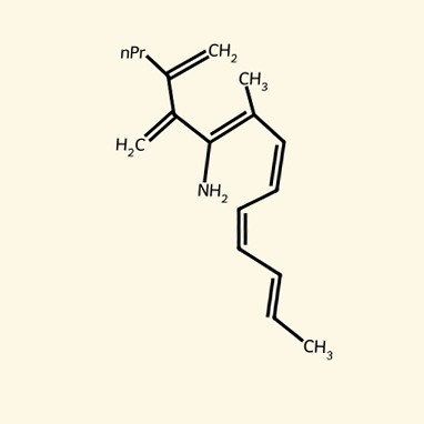 C=C(CCC)C(=C)/C(N)=C(C)/C=C\C=C/C=C/C